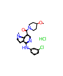 COC1CCN(C(=O)c2cnc(Nc3cccc(Cl)c3)c3ccn(C)c23)CC1.Cl